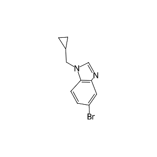 Brc1ccc2c(c1)ncn2CC1CC1